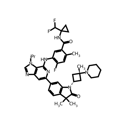 Cc1cc(F)c(Nc2nc(-c3ccc4c(c3)N([C@H]3C[C@@](C)(N5CCCCC5)C3)C(=O)C4(C)C)cc3ncn(C(C)C)c23)cc1C(=O)NC1(C(F)F)CC1